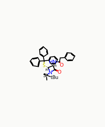 CC(C)(C)[Si](C)(C)N1C(=O)[C@@H](NC(=O)Cc2ccccc2)[C@H]1SC(c1ccccc1)(c1ccccc1)c1ccccc1